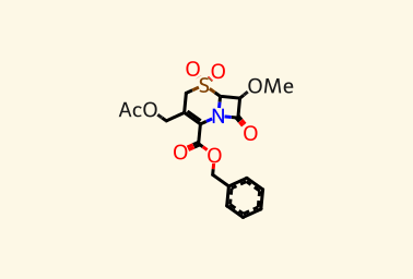 COC1C(=O)N2C(C(=O)OCc3ccccc3)=C(COC(C)=O)CS(=O)(=O)C12